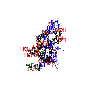 CN[C@H](CC(C)C)C(=O)N[C@H]1C(=O)N[C@@H](CC(N)=O)C(=O)N[C@H]2C(=O)N[C@H]3C(=O)N[C@H](C(=O)N[C@@H](C(=O)NNC(N)=O)c4cc(O)cc(O)c4-c4cc3ccc4O)[C@H](O)c3ccc(c(Cl)c3)Oc3cc2cc(c3O[C@@H]2O[C@H](CO)[C@@H](O)[C@H](O)[C@H]2O[C@H]2C[C@](C)(NCCN3CCN(NC(=O)Nc4ccc(OC(F)(F)F)cc4)CC3)[C@H](O)[C@H](C)O2)Oc2ccc(cc2Cl)[C@H]1O